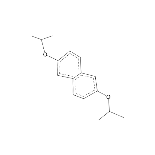 CC(C)Oc1ccc2cc(OC(C)C)ccc2c1